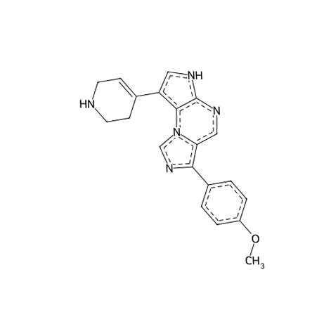 COc1ccc(-c2ncn3c2cnc2[nH]cc(C4=CCNCC4)c23)cc1